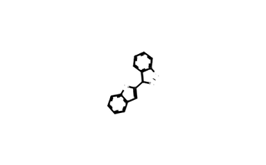 C1=C(C2N=Nc3ccccc32)[N]c2ccccc21